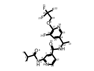 CC(C)C(=O)Nc1cc(C(=O)NC(C)c2cnc(OCC(F)(F)F)c(F)c2)ccn1